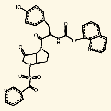 O=C(NC(Cc1ccc(O)cc1)C(=O)N1CCC2C1C(=O)CN2S(=O)(=O)C(=O)c1cccnc1)Oc1cccc2cccnc12